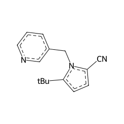 CC(C)(C)c1ccc(C#N)n1Cc1cccnc1